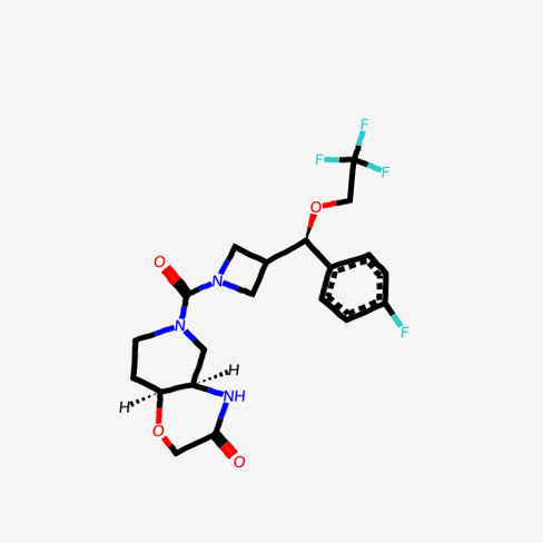 O=C1CO[C@H]2CCN(C(=O)N3CC([C@@H](OCC(F)(F)F)c4ccc(F)cc4)C3)C[C@H]2N1